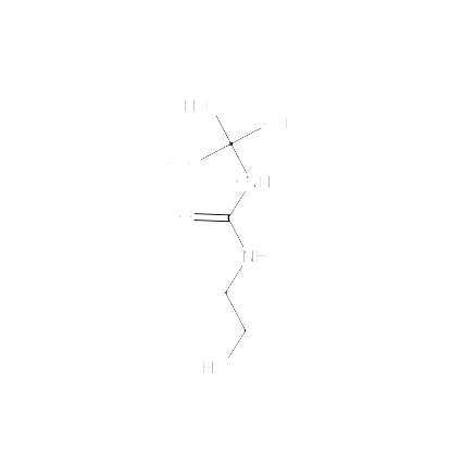 CC(C)(C)NC(=O)NCCO